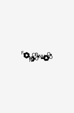 O=C(NCc1ccc2c(c1)OCO2)Oc1cnn(-c2ccc(F)cc2)c1C(F)(F)F